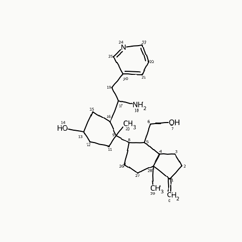 C=C1CCC2C(CO)C(C3(C)CCC(O)CC3C(N)Cc3cccnc3)CCC12C